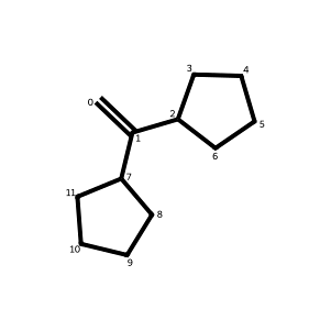 C=C(C1CCCC1)C1CCCC1